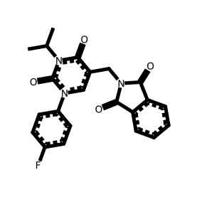 CC(C)n1c(=O)c(CN2C(=O)c3ccccc3C2=O)cn(-c2ccc(F)cc2)c1=O